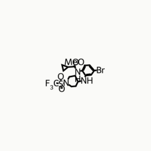 COc1cc(Br)cc(NC2CCN(S(=O)(=O)C(F)(F)F)CC2)c1NC(=O)C1CC1